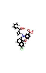 COC(=O)c1ccc2c(c1)N(C[C@@H]1CC[C@H]1[C@H](O)[C@H]1C=CCCC1)C[C@@]1(CCCc3cc(Cl)ccc31)CO2